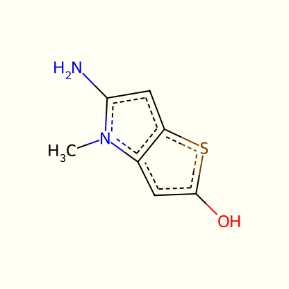 Cn1c(N)cc2sc(O)cc21